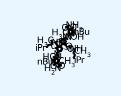 CCCCn1c(O)c(N=Nc2ccc(-c3ccc(N=Nc4c(C)c(C(N)=O)c(=O)n(CCCC)c4O)cc3S(=O)(=O)NC(C)CCCC(C)C)c(SOONC(C)CCCC(C)C)c2)c(C)c(C(N)=O)c1=O